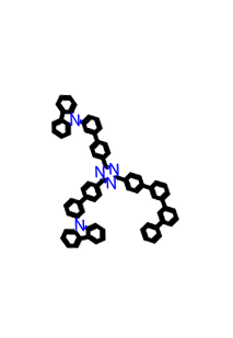 c1ccc(-c2cccc(-c3cccc(-c4ccc(-c5nc(-c6ccc(-c7cccc(-n8c9ccccc9c9ccccc98)c7)cc6)nc(-c6ccc(-c7cccc(-n8c9ccccc9c9ccccc98)c7)cc6)n5)cc4)c3)c2)cc1